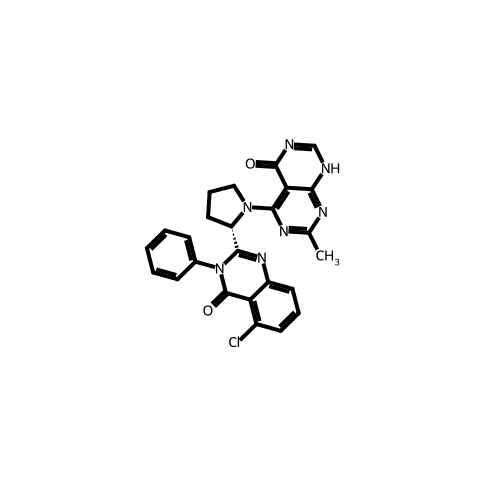 Cc1nc(N2CCC[C@H]2c2nc3cccc(Cl)c3c(=O)n2-c2ccccc2)c2c(=O)nc[nH]c2n1